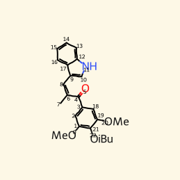 COc1cc(C(=O)C(C)=Cc2c[nH]c3ccccc23)cc(OC)c1OCC(C)C